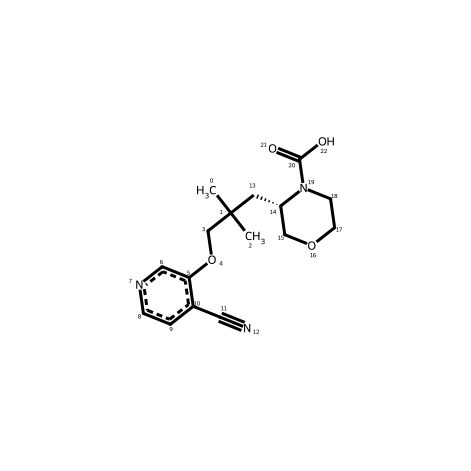 CC(C)(COc1cnccc1C#N)C[C@H]1COCCN1C(=O)O